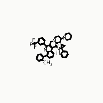 Cc1ccccc1-c1cccc2c(C(=O)NC3(c4ccccc4)CC3)c(CN3CCC(N4CCCCC4)CC3)c(-c3cccc(C(F)(F)F)c3)nc12